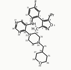 Cc1noc(C(C)C)c1-c1cc(F)ccc1Nc1cncnc1N1CCN(CC2CCOCC2)CC1